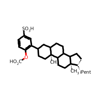 CCC[C@@H](C)[C@H]1CCC2C3CCC4CC(c5cc(S(=O)(=O)O)ccc5OC(=O)O)CC[C@]4(C)C3CC[C@@]21C